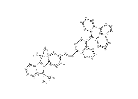 CC1(C)C2=C(c3ccccc31)C(C)(C)c1cc(/C=C/c3ccc(N(c4ccccc4)c4cccc5ccccc45)c4ccccc34)ccc12